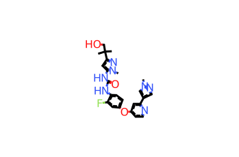 Cn1cc(-c2cc(Oc3ccc(NC(=O)Nc4cc(C(C)(C)CO)nn4C)c(F)c3)ccn2)cn1